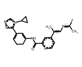 C/C(=C\N=C(/C)F)c1ccnc(C(=O)NC2=CC(c3nncn3C3CC3)=CCC2)c1